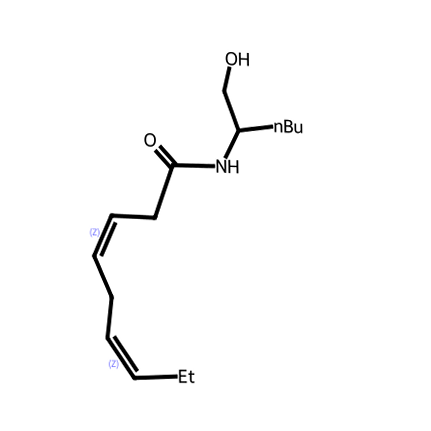 CC/C=C\C/C=C\CC(=O)NC(CO)CCCC